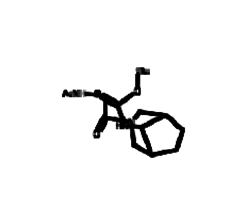 CC(=O)NCC(=O)N1CC2CCC(C1)C2NC(=O)OC(C)(C)C